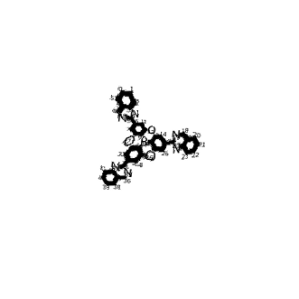 c1ccc2nc(-c3cc4c5c(c3)Oc3cc(-c6ncc7ccccc7n6)cc6c3B5c3c(cc(-c5ncc7ccccc7n5)cc3O6)O4)ncc2c1